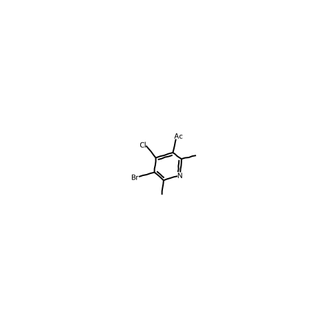 CC(=O)c1c(C)nc(C)c(Br)c1Cl